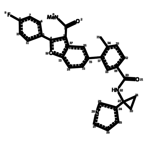 CNC(=O)c1c(-c2ccc(F)cc2)oc2ccc(-c3cc(C(=O)NC4(c5cccnc5)CC4)ccc3C)cc12